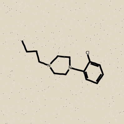 [CH2]CCCN1CCN(c2ccccc2Cl)CC1